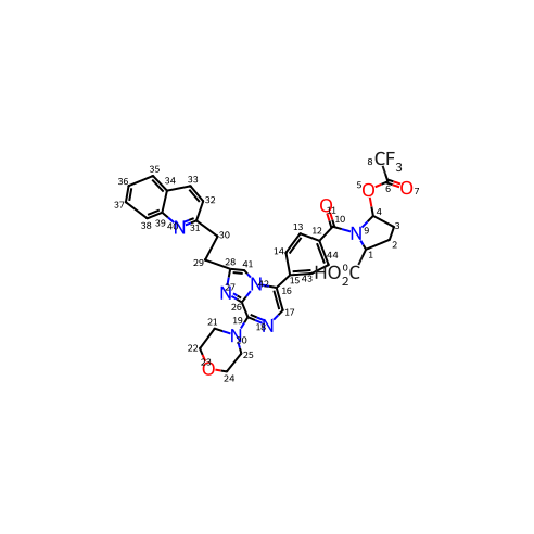 O=C(O)C1CCC(OC(=O)C(F)(F)F)N1C(=O)c1ccc(-c2cnc(N3CCOCC3)c3nc(CCc4ccc5ccccc5n4)cn23)cc1